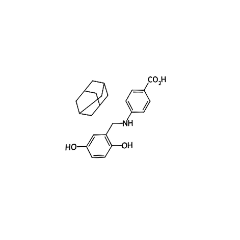 C1C2CC3CC1CC(C2)C3.O=C(O)c1ccc(NCc2cc(O)ccc2O)cc1